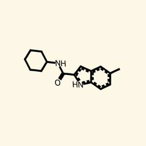 Cc1ccc2[nH]c(C(=O)NC3CCCCC3)cc2c1